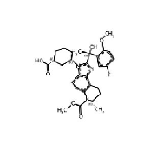 COC(=O)N1c2ccc3c(nc([C@](C)(O)c4cc(F)ccc4OC)n3[C@@H]3CCC[C@@H](C(=O)O)C3)c2CC[C@@H]1C